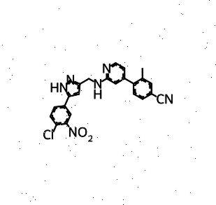 Cc1cc(C#N)ccc1-c1ccnc(NCc2cc(-c3ccc(Cl)c([N+](=O)[O-])c3)[nH]n2)c1